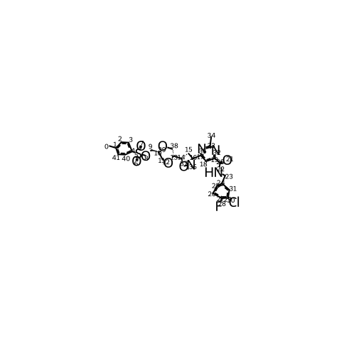 Cc1ccc(S(=O)(=O)OC[C@@H]2CO[C@@H]([C@@H]3CC(c4cc(C(=O)NCc5ccc(F)c(Cl)c5)nc(C)n4)=NO3)CO2)cc1